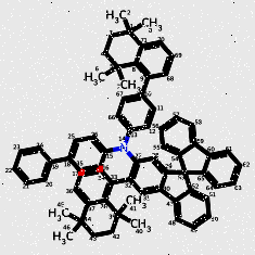 CC1(C)CCC(C)(C)c2c(-c3ccc(N(c4ccc(-c5ccccc5)cc4)c4cc5c(cc4-c4cccc6c4C(C)(C)CCC6(C)C)-c4ccccc4C54c5ccccc5-c5ccccc54)cc3)cccc21